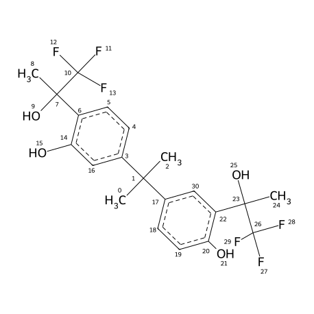 CC(C)(c1ccc(C(C)(O)C(F)(F)F)c(O)c1)c1ccc(O)c(C(C)(O)C(F)(F)F)c1